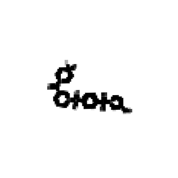 O=C([C@@H]1CCCN(S(=O)(=O)c2ccc(S(=O)(=O)N3CC[C@@H](O)C3)cc2)C1)N1CCC(F)(F)CC1